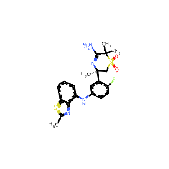 Cc1nc2c(Nc3ccc(F)c([C@]4(C)CS(=O)(=O)C(C)(C)C(N)=N4)c3)cccc2s1